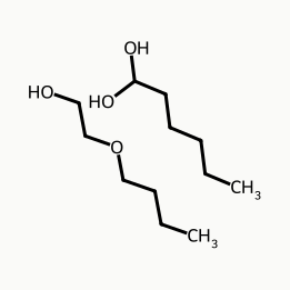 CCCCCC(O)O.CCCCOCCO